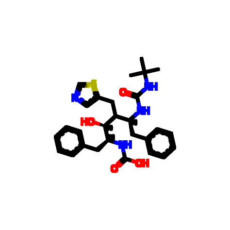 CC(C)(C)NC(=O)N[C@@H](Cc1ccccc1)C(Cc1cncs1)[C@@H](O)[C@H](Cc1ccccc1)NC(=O)O